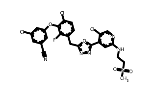 CS(=O)(=O)CCNc1cc(-c2nnc(Cc3ccc(Cl)c(Oc4cc(Cl)cc(C#N)c4)c3F)o2)c(Cl)cn1